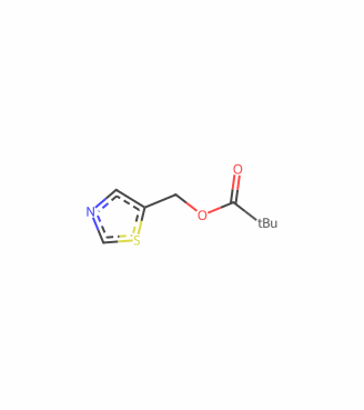 CC(C)(C)C(=O)OCc1cncs1